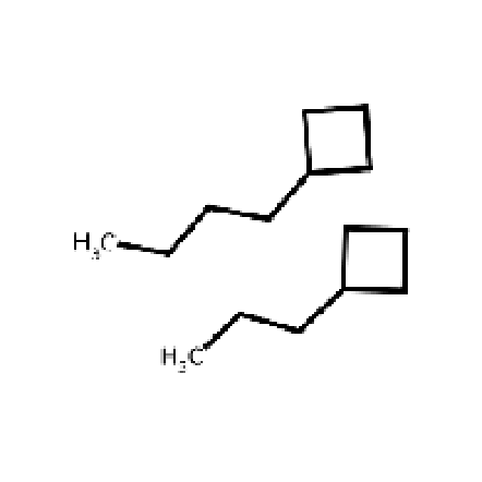 CCCC1CCC1.CCCCC1CCC1